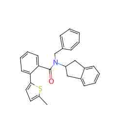 Cc1ccc(-c2ccccc2C(=O)N(Cc2ccccc2)C2Cc3ccccc3C2)s1